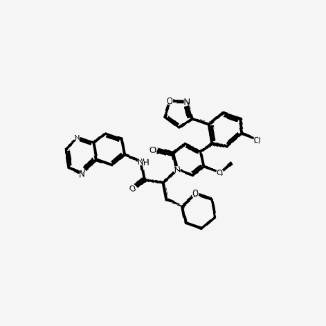 COc1cn(C(C[C@@H]2CCCCO2)C(=O)Nc2ccc3nccnc3c2)c(=O)cc1-c1cc(Cl)ccc1-c1ccon1